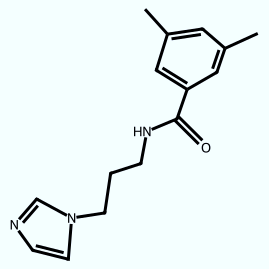 Cc1cc(C)cc(C(=O)NCCCn2ccnc2)c1